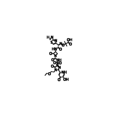 CCOCCn1c(-c2cc(=O)c(O)c[nH]2)nn(S(=O)(=O)NC(=O)N2C[C@H](NC(=O)/C(=N\OC(C)(C)C(=O)O)c3csc(N)n3)C2=O)c1=O